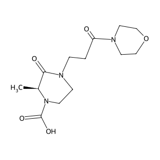 C[C@H]1C(=O)N(CCC(=O)N2CCOCC2)CCN1C(=O)O